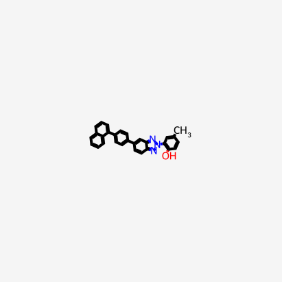 Cc1ccc(O)c(-n2nc3ccc(-c4ccc(-c5cccc6ccccc56)cc4)cc3n2)c1